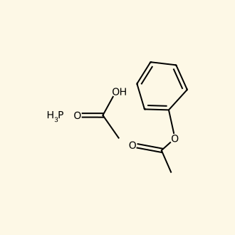 CC(=O)O.CC(=O)Oc1ccccc1.P